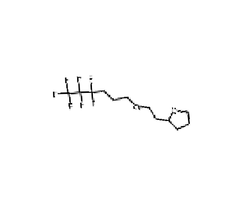 FC(F)(F)C(F)(F)C(F)(F)CCCOCCC1CCCO1